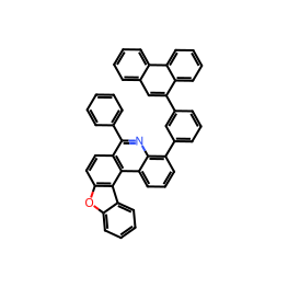 c1ccc(-c2nc3c(-c4cccc(-c5cc6ccccc6c6ccccc56)c4)cccc3c3c2ccc2oc4ccccc4c23)cc1